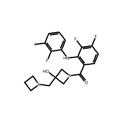 O=C(c1ccc(F)c(F)c1Nc1cccc(I)c1F)N1CC(O)(CN2CCC2)C1